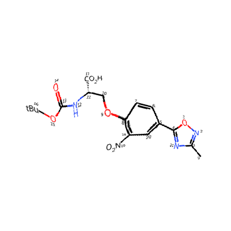 Cc1noc(-c2ccc(OC[C@H](NC(=O)OC(C)(C)C)C(=O)O)c([N+](=O)[O-])c2)n1